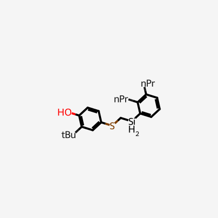 CCCc1cccc([SiH2]CSc2ccc(O)c(C(C)(C)C)c2)c1CCC